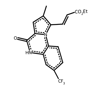 CCOC(=O)/C=C/c1c(C)cc2c(=O)[nH]c3cc(C(F)(F)F)ccc3n12